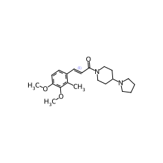 COc1ccc(/C=C/C(=O)N2CCC(N3CCCC3)CC2)c(C)c1OC